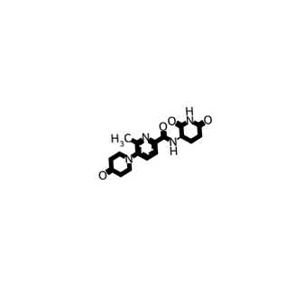 Cc1nc(C(=O)N[C@H]2CCC(=O)NC2=O)ccc1N1CCC(=O)CC1